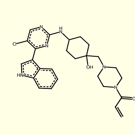 C=CC(=O)N1CCN(CC2(O)CCC(Nc3ncc(Cl)c(-c4c[nH]c5ccccc45)n3)CC2)CC1